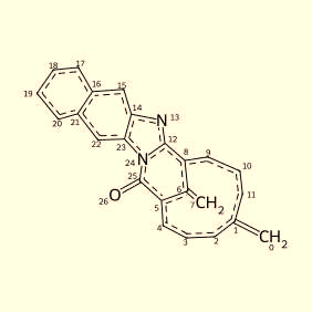 C=c1cccc2c(=C)c(ccc1)c1nc3cc4ccccc4cc3n1c2=O